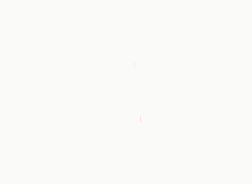 Cc1ccc(S(=O)(=O)O)cc1.OC1CCCCC1